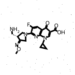 CO/N=C1\CN(c2nc3c(cc2F)c(=O)c(C(=O)O)cn3C2CC2)C[C@H]1CN